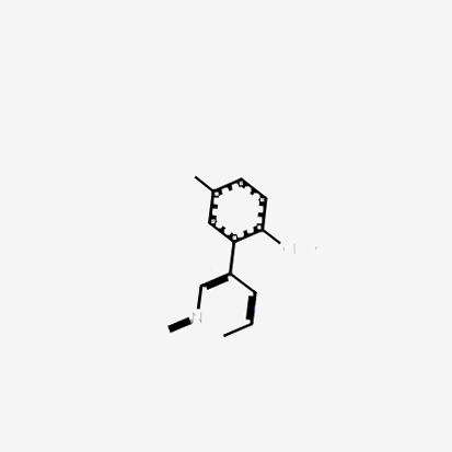 C=N/C=C(\C=C/C)c1cc(F)ccc1C=O